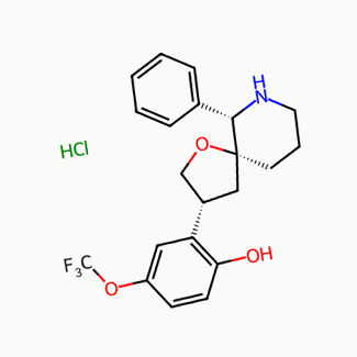 Cl.Oc1ccc(OC(F)(F)F)cc1[C@@H]1CO[C@]2(CCCN[C@H]2c2ccccc2)C1